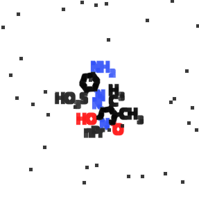 CCCn1c(O)c(N=Nc2cc(N)ccc2S(=O)(=O)O)c(C)c(C)c1=O